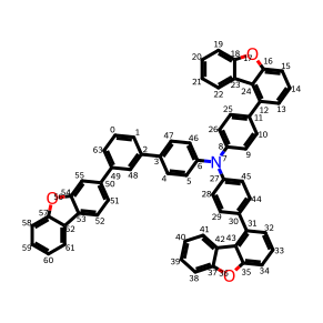 c1cc(-c2ccc(N(c3ccc(-c4cccc5oc6ccccc6c45)cc3)c3ccc(-c4cccc5oc6ccccc6c45)cc3)cc2)cc(-c2ccc3c(c2)oc2ccccc23)c1